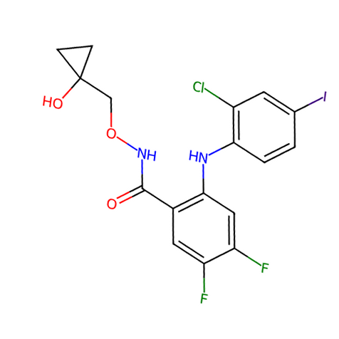 O=C(NOCC1(O)CC1)c1cc(F)c(F)cc1Nc1ccc(I)cc1Cl